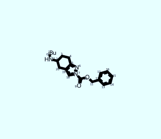 CCC(C)NC1CCc2nn(C(=O)OCc3ccccc3)cc2C1